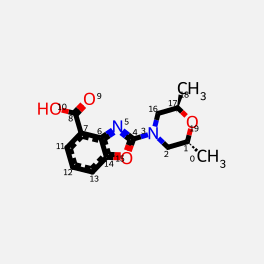 C[C@@H]1CN(c2nc3c(C(=O)O)cccc3o2)C[C@@H](C)O1